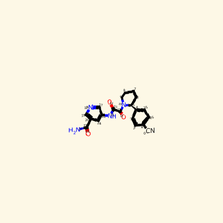 N#Cc1ccc([C@@H]2CCCCN2C(=O)C(=O)Nc2cncc(C(N)=O)c2)cc1